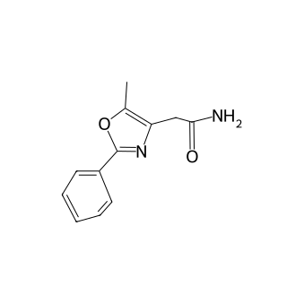 Cc1oc(-c2ccccc2)nc1CC(N)=O